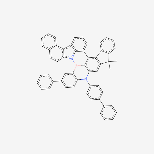 CC1(C)c2ccccc2-c2c1cc1c3c2-c2cccc4c5c6ccccc6ccc5n(c24)B3c2cc(-c3ccccc3)ccc2N1c1ccc(-c2ccccc2)cc1